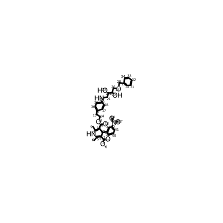 COC(=O)C1=C(C)NC(C)=C(C(=O)OCCc2ccc(NCC(O)C(O)COCc3ccccc3)cc2)C1c1cccc([N+](=O)[O-])c1